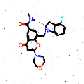 C[C@@H]1Cc2c(F)cccc2N1Cc1cc(C(=O)N(C)C)cc2c(=O)cc(N3CCOCC3)oc12